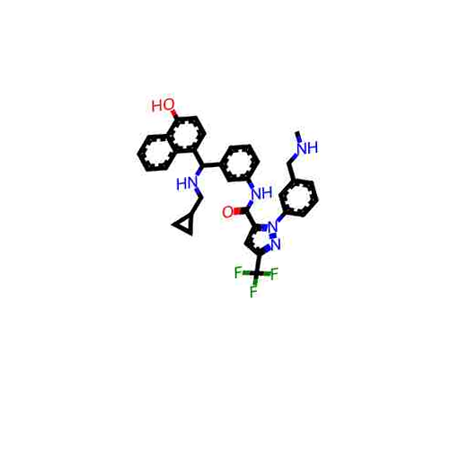 CNCc1cccc(-n2nc(C(F)(F)F)cc2C(=O)Nc2cccc(C(NCC3CC3)c3ccc(O)c4ccccc34)c2)c1